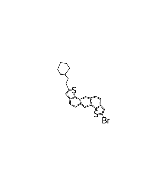 Brc1cc2ccc3cc4c(ccc5cc(CCC6CCCCC6)sc54)cc3c2s1